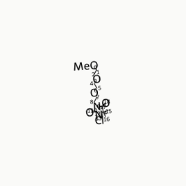 COCCOCCOCCN1C(=O)N(Cl)C(C)(C)C1=O